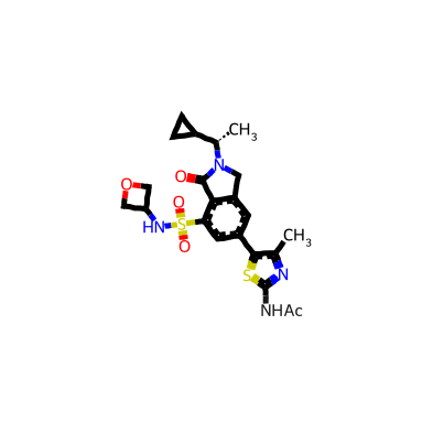 CC(=O)Nc1nc(C)c(-c2cc3c(c(S(=O)(=O)NC4COC4)c2)C(=O)N([C@@H](C)C2CC2)C3)s1